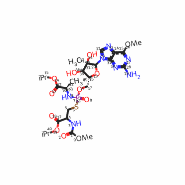 COC(=O)NC(CS[P@](=O)(N[C@H](C)C(=O)OC(C)C)OC[C@H]1OC(n2cnc3c(OC)nc(N)nc32)[C@](C)(O)[C@@H]1O)C(=O)OC(C)C